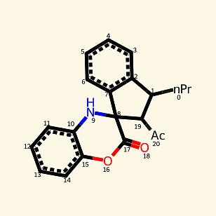 CCCC1c2ccccc2C2(Nc3ccccc3OC2=O)C1C(C)=O